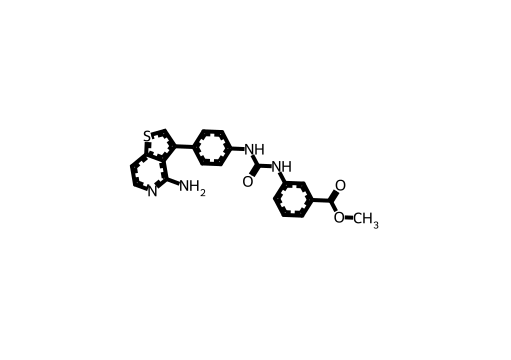 COC(=O)c1cccc(NC(=O)Nc2ccc(-c3csc4ccnc(N)c34)cc2)c1